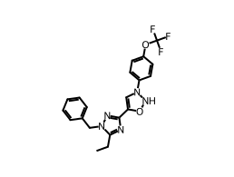 CCc1nc(C2=CN(c3ccc(OC(F)(F)F)cc3)NO2)nn1Cc1ccccc1